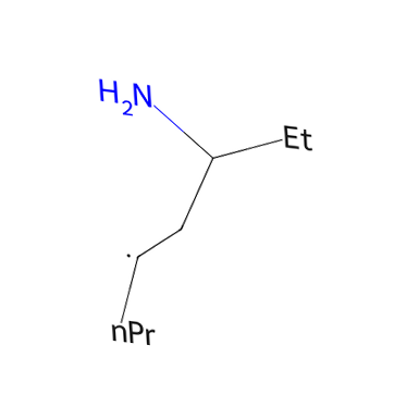 CCC[CH]CC(N)CC